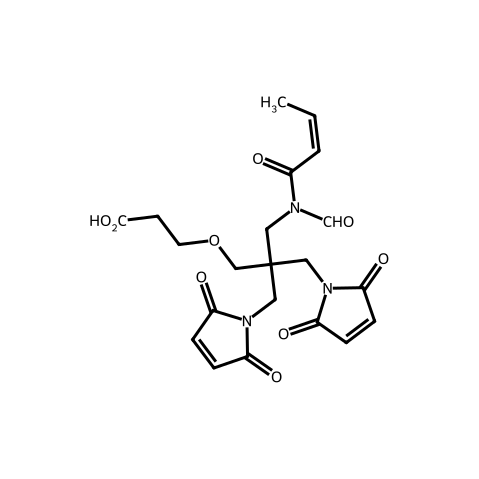 C/C=C\C(=O)N(C=O)CC(COCCC(=O)O)(CN1C(=O)C=CC1=O)CN1C(=O)C=CC1=O